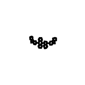 c1ccc2c(c1)sc1ccc(-c3ccc(-c4c5ccccc5c(-c5ccc6sc7ccccc7c6c5)c5ccccc45)c4ccccc34)cc12